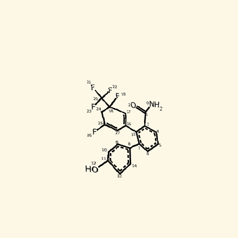 NC(=O)c1cccc(-c2ccc(O)cc2)c1C1=CC(F)(C(F)(F)F)CC(F)=C1